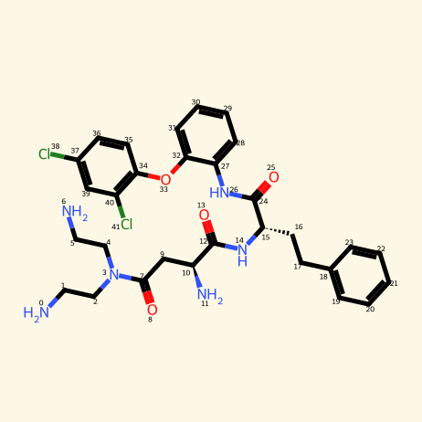 NCCN(CCN)C(=O)C[C@H](N)C(=O)N[C@@H](CCc1ccccc1)C(=O)Nc1ccccc1Oc1ccc(Cl)cc1Cl